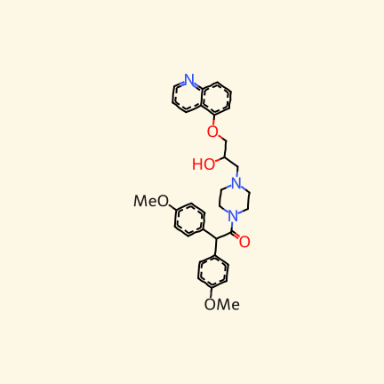 COc1ccc(C(C(=O)N2CCN(CC(O)COc3cccc4ncccc34)CC2)c2ccc(OC)cc2)cc1